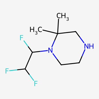 CC1(C)CNCCN1C(F)C(F)F